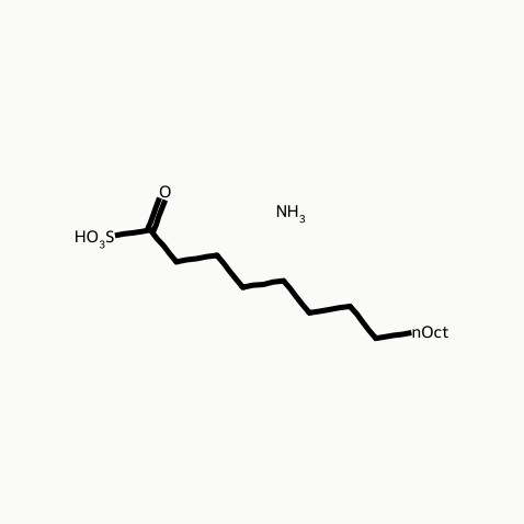 CCCCCCCCCCCCCCCC(=O)S(=O)(=O)O.N